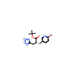 CC(C)(C)OC(=O)[C@H](Cc1ccc(Br)nc1)Cc1nn[nH]n1